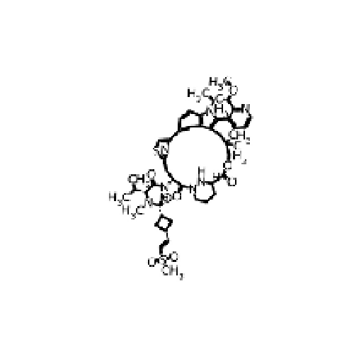 CCn1c(-c2cccnc2[C@H](C)OC)c2c3cc(ccc31)-c1csc(n1)C[C@H](NC(=O)[C@H](C(C)C)N(C)C(=O)[C@H]1C[C@H](/C=C/S(C)(=O)=O)C1)C(=O)N1CCC[C@H](N1)C(=O)OCC(C)(C)C2